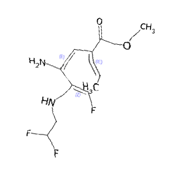 C\C=C(/C=C(N)\C(=C\F)NCC(F)F)C(=O)OC